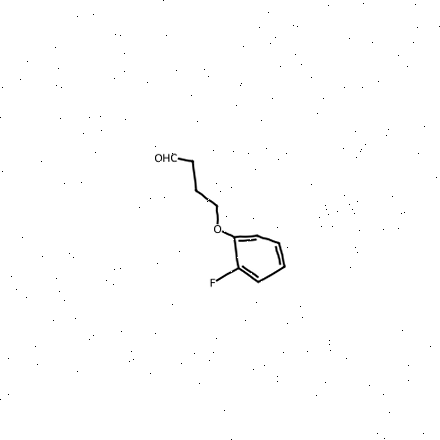 O=CCCCOc1ccccc1F